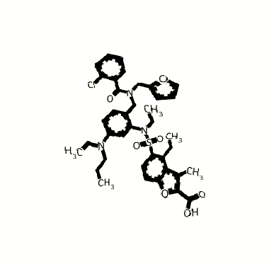 CCCN(CC)c1ccc(CN(Cc2ccco2)C(=O)c2ccccc2Cl)c(N(CC)S(=O)(=O)c2ccc3oc(C(=O)O)c(C)c3c2CC)c1